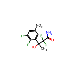 C[C@@](O)(c1cc([N+](=O)[O-])cc(F)c1F)C(F)(F)C(N)=O